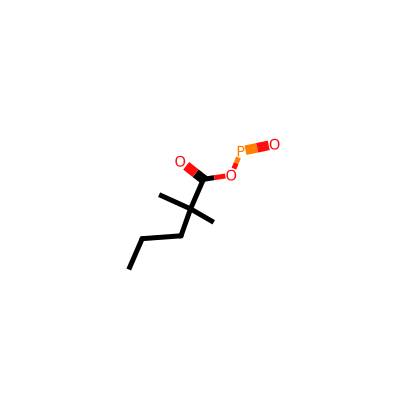 CCCC(C)(C)C(=O)OP=O